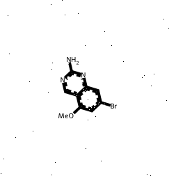 COc1cc(Br)cc2nc(N)ncc12